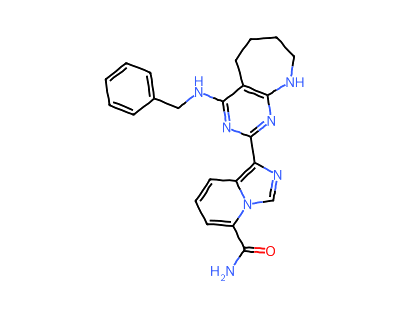 NC(=O)c1cccc2c(-c3nc4c(c(NCc5ccccc5)n3)CCCCN4)ncn12